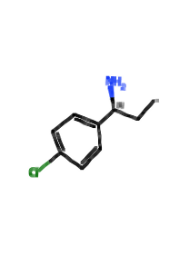 [CH2]C[C@H](N)c1ccc(Cl)cc1